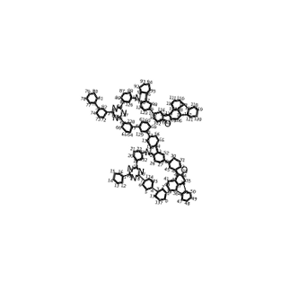 c1ccc(-c2ccc(-c3nc(-c4ccccc4)nc(-c4cccc(-n5c6ccc(-c7ccc8oc9cc%10c%11c(cccc%11c9c8c7)-c7ccccc7-%10)cc6c6ccc(-c7cccc(-c8cccc(-c9nc(-c%10cccc(-c%11ccccc%11)c%10)nc(-c%10cccc(-n%11c%12ccccc%12c%12cc(-c%13ccc%14oc%15cc%16c%17c(cccc%17c%15c%14c%13)-c%13ccccc%13-%16)ccc%12%11)c%10)n9)c8)c7)cc65)c4)n3)cc2)cc1